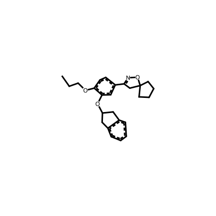 CCCOc1ccc(C2=NOC3(CCCC3)C2)cc1OC1Cc2ccccc2C1